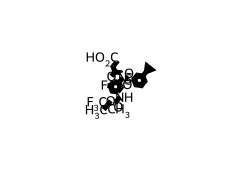 CC(C)(OC(=O)Nc1cc(F)c2c(c1)N(S(=O)(=O)c1cccc(C3CC3)c1)CC(CCC(=O)O)O2)C(F)(F)F